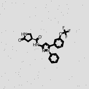 O=C1C[C@H](C(=O)Nc2cc(-c3cccc(OC(F)(F)F)c3)n(-c3ccccc3)n2)CN1